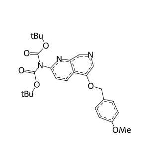 COc1ccc(COc2cncc3nc(N(C(=O)OC(C)(C)C)C(=O)OC(C)(C)C)ccc23)cc1